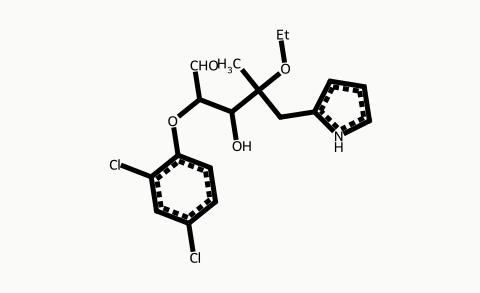 CCOC(C)(Cc1ccc[nH]1)C(O)C(C=O)Oc1ccc(Cl)cc1Cl